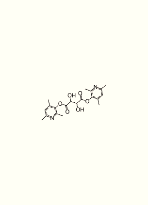 Cc1cc(C)c(OC(=O)C(O)C(O)C(=O)Oc2c(C)cc(C)nc2C)c(C)n1